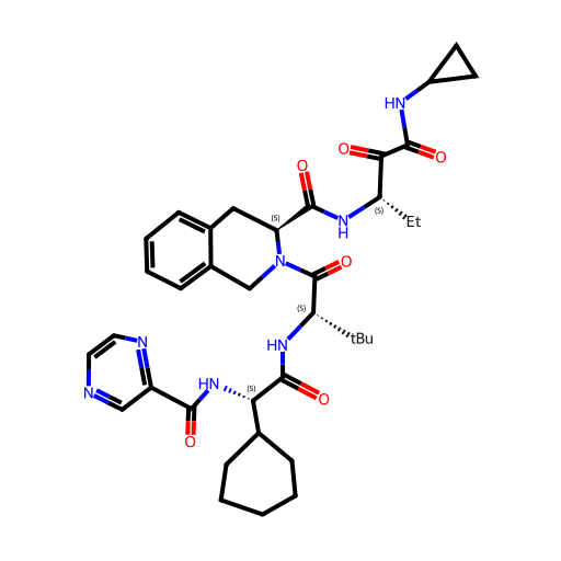 CC[C@H](NC(=O)[C@@H]1Cc2ccccc2CN1C(=O)[C@@H](NC(=O)[C@@H](NC(=O)c1cnccn1)C1CCCCC1)C(C)(C)C)C(=O)C(=O)NC1CC1